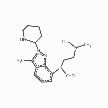 Cc1c2cccc(N(C=O)CCN(C)C)c2nn1C1CCCCN1